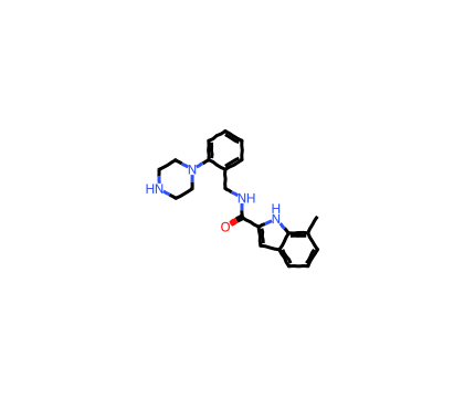 Cc1cccc2cc(C(=O)NCc3ccccc3N3CCNCC3)[nH]c12